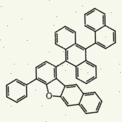 c1ccc(-c2ccc(-c3c4ccccc4c(-c4cccc5ccccc45)c4ccccc34)c3c2oc2cc4ccccc4cc23)cc1